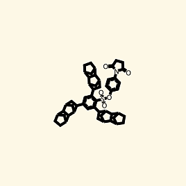 O=C1CCC(=O)N1c1ccc(OS(=O)(=O)c2c(C3CC4CC3C3C5CCC(C5)C43)cc(C3CC4CC3C3C5CCC(C5)C43)cc2C2CC3CC2C2C4CCC(C4)C32)cc1